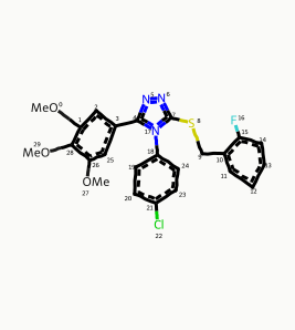 COc1cc(-c2nnc(SCc3ccccc3F)n2-c2ccc(Cl)cc2)cc(OC)c1OC